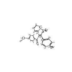 COc1ccc(C(=O)c2c(-c3ccc(Br)cc3)[s+]([O-])c3ccccc23)cc1